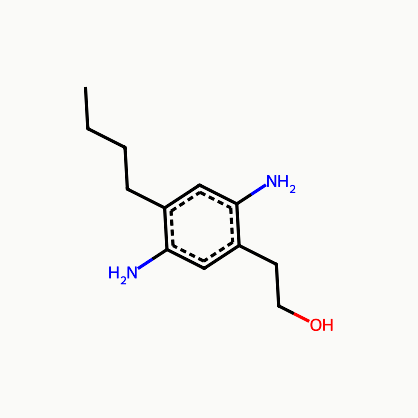 CCCCc1cc(N)c(CCO)cc1N